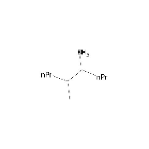 BC(CCC)C(C)CCC